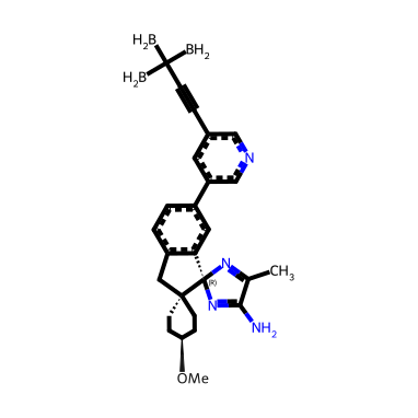 BC(B)(B)C#Cc1cncc(-c2ccc3c(c2)[C@@]2(N=C(C)C(N)=N2)[C@]2(CC[C@H](OC)CC2)C3)c1